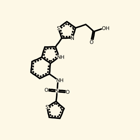 O=C(O)Cc1csc(-c2cc3cccc(NS(=O)(=O)c4cccs4)c3[nH]2)n1